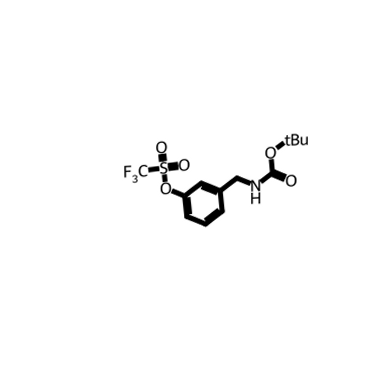 CC(C)(C)OC(=O)NCc1cccc(OS(=O)(=O)C(F)(F)F)c1